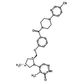 Cc1c(N2C[C@H](C)C[C@H]2COc2cccc(C(=O)N3CCN(c4ccc(C#N)cn4)CC3)c2)cn[nH]c1=O